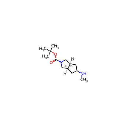 CNC1C[C@@H]2CN(C(=O)OC(C)(C)C)C[C@@H]2C1